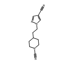 N#Cc1cnn(CCC2CCN(C#N)CC2)c1